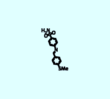 CSc1ccc(C=Nc2ccc(S(N)(=O)=O)cc2)cc1